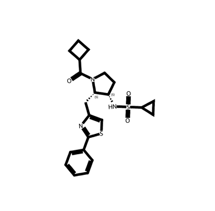 O=C(C1CCC1)N1CC[C@H](NS(=O)(=O)C2CC2)[C@@H]1Cc1csc(-c2ccccc2)n1